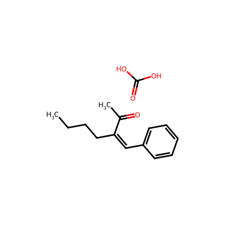 CCCCC(=Cc1ccccc1)C(C)=O.O=C(O)O